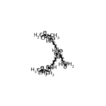 C=C(C)C(=O)OCC(C)OC(=O)NCCCCCNC(=O)N(CCCCCNC(=O)P)C(=O)NCCCCCNC(=O)OC(C)COC(=O)C(=C)C